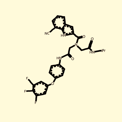 CC(C)NC(=O)CN(CC(=O)Nc1ccc(Oc2cc(F)c(F)c(F)c2)cc1)C(=O)c1cc2cccc(C#N)c2[nH]1